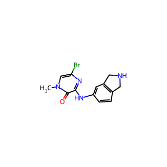 Cn1cc(Br)nc(Nc2ccc3c(c2)CNC3)c1=O